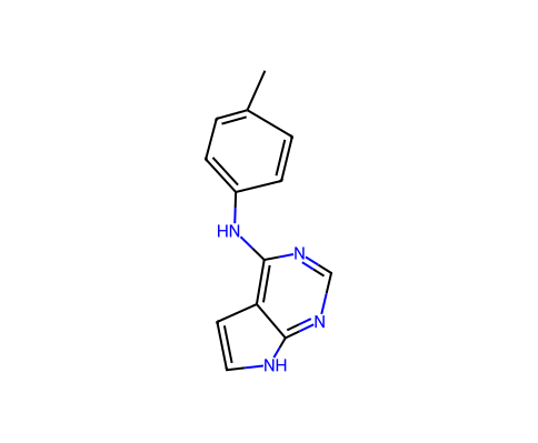 Cc1ccc(Nc2ncnc3[nH]ccc23)cc1